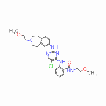 COCCNC(=O)c1ccccc1Nc1nc(Nc2ccc3c(c2)CCN(CCOC)CC3)ncc1Cl